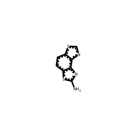 Nc1nc2c(ccc3scnc32)s1